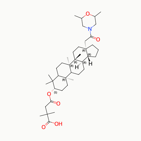 CC1CN(C(=O)C[C@]23CCC[C@@H]2[C@H]2CCC4[C@@]5(C)CC[C@H](OC(=O)CC(C)(C)C(=O)O)C(C)(C)C5CC[C@@]4(C)[C@]2(C)CC3)CC(C)O1